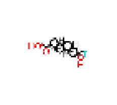 C[C@]12CC[C@](O)(CF)C[C@@H]1CC[C@@H]1[C@@H]2CC[C@]2(C)[C@@H](C(=O)CO)CC[C@@H]12